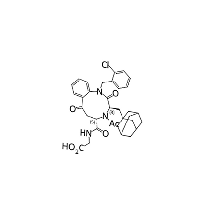 CC(=O)N1[C@H](CC23CC4CC(CC(C4)C2)C3)C(=O)N(Cc2ccccc2Cl)c2ccccc2C(=O)C[C@H]1C(=O)NCC(=O)O